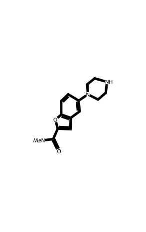 CNC(=O)c1cc2cc(N3CCNCC3)ccc2o1